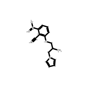 CC(COc1cccc([N+](=O)[O-])c1C#N)Cn1cccc1